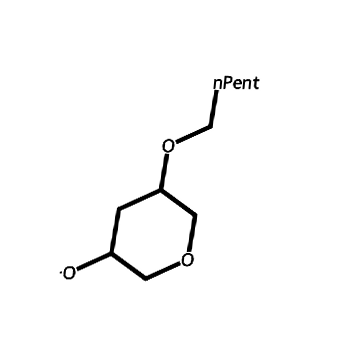 [CH2]CCCCCOC1COCC([O])C1